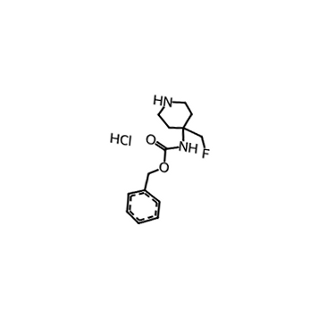 Cl.O=C(NC1(CF)CCNCC1)OCc1ccccc1